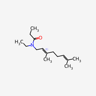 CCC(=O)N(CC)C/C=C(\C)CCC=C(C)C